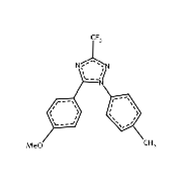 COc1ccc(-c2nc(C(F)(F)F)nn2-c2ccc(C)cc2)cc1